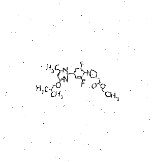 CCOC(=O)CC1CCN(c2c(F)cc(-c3nc(C)cc(OCC(C)C)n3)cc2F)C1